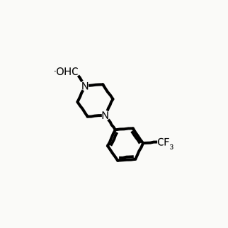 O=[C]N1CCN(c2cccc(C(F)(F)F)c2)CC1